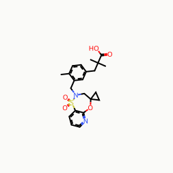 Cc1ccc(CC(C)(C)C(=O)O)cc1CN1CC2(CC2)Oc2ncccc2S1(=O)=O